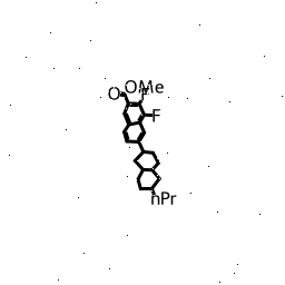 CCCC1CCC2CC(c3ccc4cc(C(=O)OC)c(F)c(F)c4c3)CCC2C1